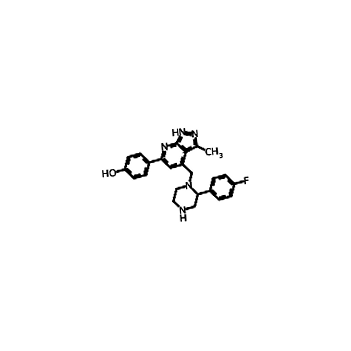 Cc1n[nH]c2nc(-c3ccc(O)cc3)cc(CN3CCNCC3c3ccc(F)cc3)c12